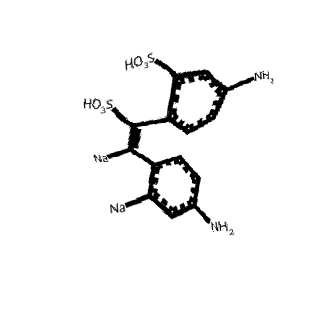 Nc1ccc([C]([Na])=C(c2ccc(N)cc2S(=O)(=O)O)S(=O)(=O)O)[c]([Na])c1